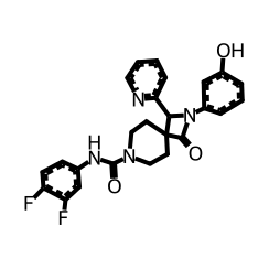 O=C(Nc1ccc(F)c(F)c1)N1CCC2(CC1)C(=O)N(c1cccc(O)c1)C2c1ccccn1